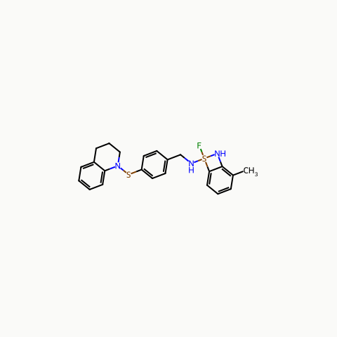 Cc1cccc2c1NS2(F)NCc1ccc(SN2CCCc3ccccc32)cc1